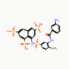 Cc1ccc(S(=O)(=O)Nc2cc(S(=O)(=O)O)cc3cc(S(=O)(=O)O)cc(S(=O)(=O)O)c23)cc1NC(=O)c1cccc(N)c1